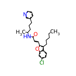 CCCCCc1c(/C=C/C(=O)NC(C)CCCc2cccnc2)oc2cc(Cl)ccc12